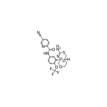 N#Cc1ccc(C(=O)Nc2ccc(OC(F)(F)F)c([C@]34COCC[C@H]3CSC(N)=N4)c2)nc1